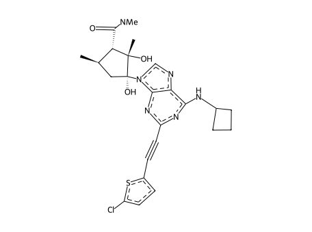 CNC(=O)[C@H]1[C@H](C)C[C@](O)(n2cnc3c(NC4CCC4)nc(C#Cc4ccc(Cl)s4)nc32)[C@@]1(C)O